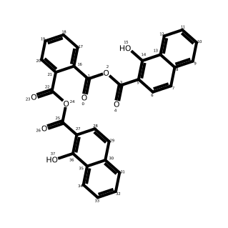 O=C(OC(=O)c1ccc2ccccc2c1O)c1ccccc1C(=O)OC(=O)c1ccc2ccccc2c1O